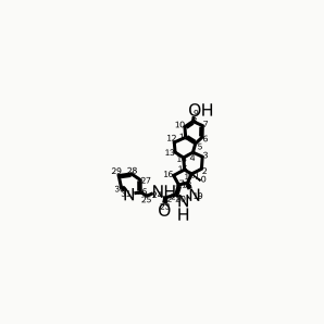 C[C@]12CCC3c4ccc(O)cc4CCC3C1Cc1c2n[nH]c1C(=O)NCc1ccccn1